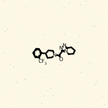 O=C(c1nnc2n1CCCC2)N1CCC(c2ccccc2C(F)(F)F)CC1